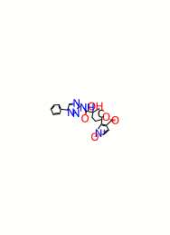 O=C1OC2(CCC(O)(C(=O)Nc3ncc(-c4ccccc4)nn3)CC2)c2c[n+]([O-])ccc21